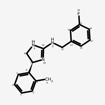 Cc1ccccc1[C@H]1CNC(NCc2cccc(F)c2)=N1